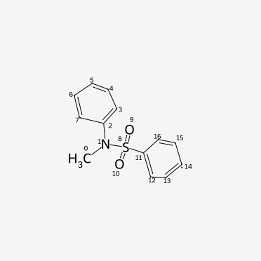 CN(c1ccccc1)S(=O)(=O)c1cc[c]cc1